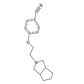 N#Cc1ccc(OCCN2CC3CCCC3C2)cc1